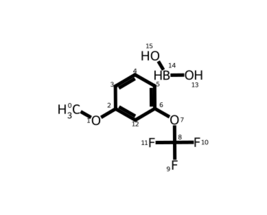 COc1cccc(OC(F)(F)F)c1.OBO